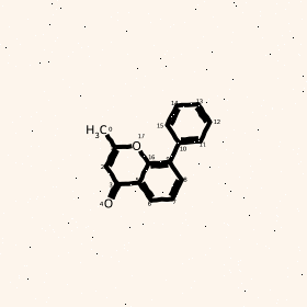 Cc1cc(=O)c2cccc(-c3ccccc3)c2o1